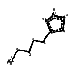 [CH2]CCCCc1csnn1